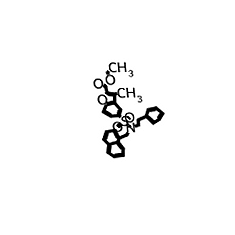 CCOC(=O)c1oc2ccc(S(=O)(=O)N(CCc3ccccc3)Cc3cccc4ccccc34)cc2c1C